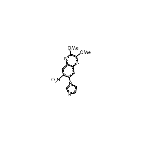 COc1nc2cc(-n3ccnc3)c([N+](=O)[O-])cc2nc1OC